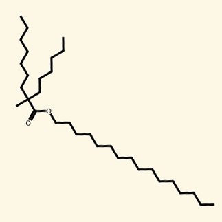 CCCCCCCCCCCCCCCCOC(=O)C(C)(CCCCCC)CCCCCCC